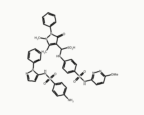 COc1ccc(NS(=O)(=O)c2ccc(NC(c3c(C)n(C)n(-c4ccccc4)c3=O)S(=O)(=O)O)cc2)nn1.Nc1ccc(S(=O)(=O)Nc2ccnn2-c2ccccc2)cc1